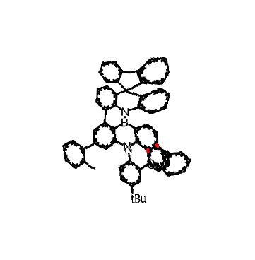 Cc1ccccc1-c1cc2c3c(c1)N(c1ccc(C(C)(C)C)cc1-c1ccccc1)c1c(ccc4c1oc1ccccc14)B3N1c3ccccc3C3(c4ccccc4-c4ccccc43)c3cccc-2c31